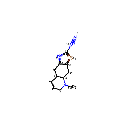 CCCN1CCCC2Cc3nc([N+]#N)sc3CC21